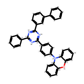 c1ccc(-c2cccc(-c3nc(-c4ccccc4)nc(-c4ccc(N5c6ccccc6Oc6ccccc65)cc4)n3)c2)cc1